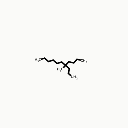 CCCCCCC(C)(CCN)CCCC